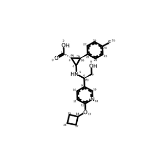 O=C(O)[C@H]1C(N[C@@H](CO)c2ccc(OC3CCC3)nc2)[C@@H]1c1ccc(F)cc1